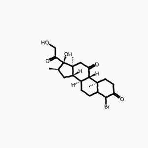 C[C@@H]1C[C@H]2[C@@H]3CCC4C(Br)C(=O)CC[C@]4(C)[C@H]3C(=O)C[C@]2(C)[C@@]1(O)C(=O)CO